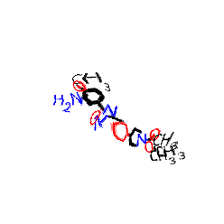 COc1ccc(-c2nc(COC3CCN(C(=O)OC(C)(C)C)CC3)no2)cc1N